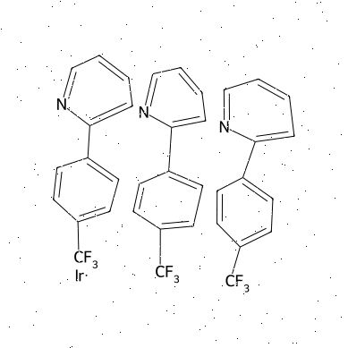 FC(F)(F)c1ccc(-c2ccccn2)cc1.FC(F)(F)c1ccc(-c2ccccn2)cc1.FC(F)(F)c1ccc(-c2ccccn2)cc1.[Ir]